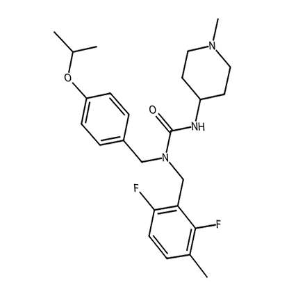 Cc1ccc(F)c(CN(Cc2ccc(OC(C)C)cc2)C(=O)NC2CCN(C)CC2)c1F